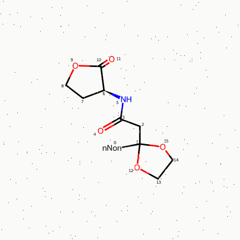 CCCCCCCCCC1(CC(=O)N[C@H]2CCOC2=O)OCCO1